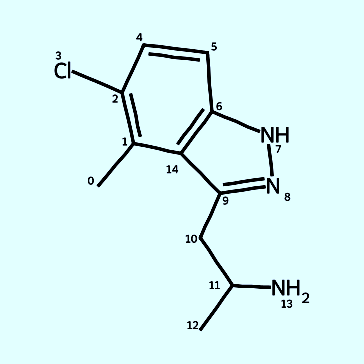 Cc1c(Cl)ccc2[nH]nc(CC(C)N)c12